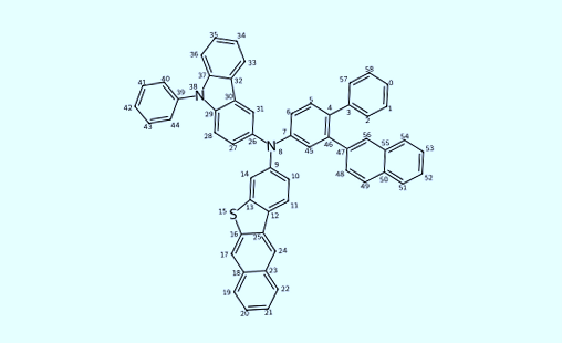 c1ccc(-c2ccc(N(c3ccc4c(c3)sc3cc5ccccc5cc34)c3ccc4c(c3)c3ccccc3n4-c3ccccc3)cc2-c2ccc3ccccc3c2)cc1